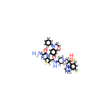 Nc1nc2scc(C(=O)NC3CCN(C[C@](O)(Cn4cncn4)c4ccc(F)cc4F)CC3)c2n(-c2ccc3c(c2)N(c2ccccc2)CCO3)c1=O